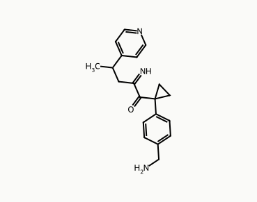 CC(CC(=N)C(=O)C1(c2ccc(CN)cc2)CC1)c1ccncc1